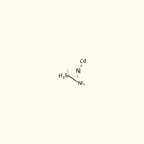 [Cd].[Ni].[SiH3][Ni]